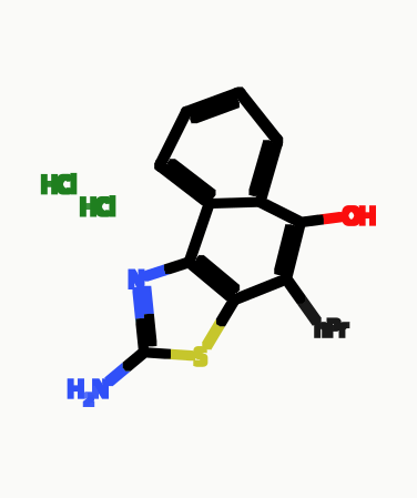 CCCc1c(O)c2ccccc2c2nc(N)sc12.Cl.Cl